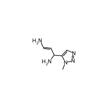 Cn1nncc1C(N)/C=C/N